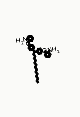 CCCCCCCCCCCCCCC(c1ccc(Oc2ccccc2N)cc1)c1ccc(Oc2ccccc2N)cc1